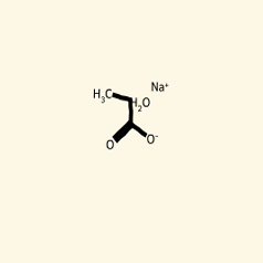 CCC(=O)[O-].O.[Na+]